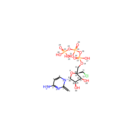 C=C1N=C(N)C=CN1[C@@H]1O[C@](CCl)(COP(=O)(O)OP(=O)(O)OP(=O)(O)O)[C@@H](O)[C@H]1O